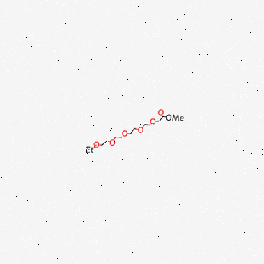 CCOCCOCCOCCOCCOCC(=O)OC